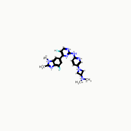 Cc1nc2c(F)cc(-c3nc(Nc4ccc(N5CC(N(C)C)C5)cn4)ncc3F)cc2n1C(C)C